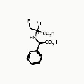 [2H][C@](CF)(NC(C(=O)O)c1ccccc1)C(=O)O